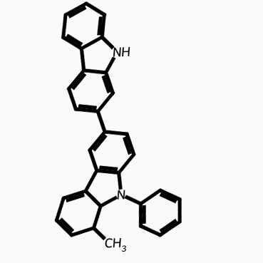 CC1C=CC=C2c3cc(-c4ccc5c(c4)[nH]c4ccccc45)ccc3N(c3ccccc3)C21